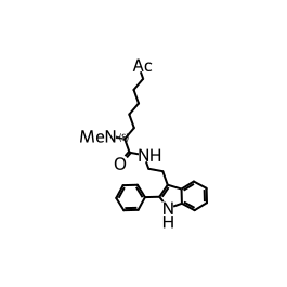 CN[C@@H](CCCCCC(C)=O)C(=O)NCCc1c(-c2ccccc2)[nH]c2ccccc12